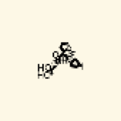 O=C(NOCC(O)CO)c1c(Nc2ccc(I)cc2F)sc2ncccc12